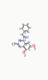 COc1cc(OC)c2nc(Cl)nc(NCc3ccccc3)c2c1